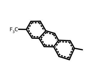 Cc1ccc2cc3cc(C(F)(F)F)ccc3cc2c1